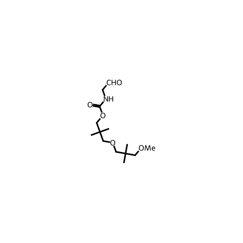 COCC(C)(C)COCC(C)(C)COC(=O)NCC=O